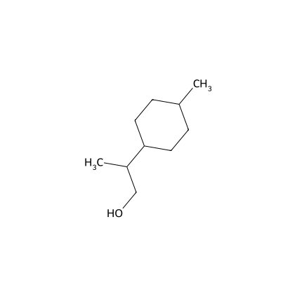 CC1CCC(C(C)CO)CC1